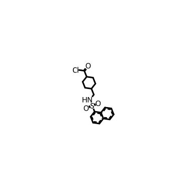 O=C(Cl)C1CCC(CNS(=O)(=O)c2cccc3ccccc23)CC1